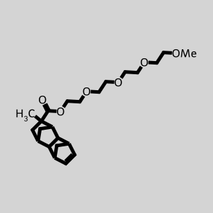 COCCOCCOCCOCCOC(=O)C1(C)CC2CC1C1C3C=CC(C3)C21